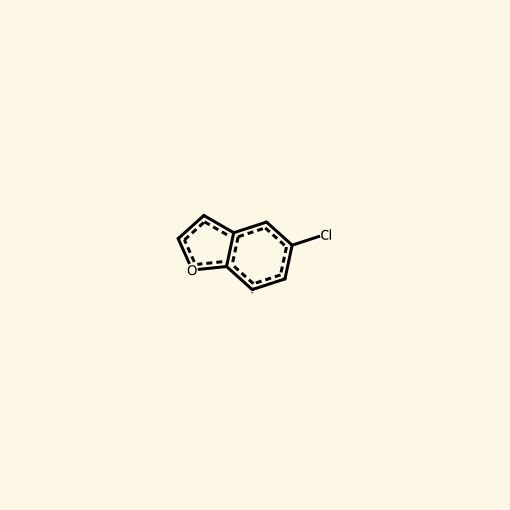 Clc1c[c]c2occc2c1